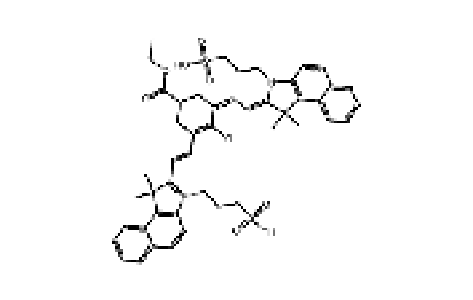 CCOC(=O)C1CC(=CC=C2N(CCCS(=O)(=O)O)c3ccc4ccccc4c3C2(C)C)C(Cl)=C(C=CC2=[N+](CCCS(=O)(=O)O)c3ccc4ccccc4c3C2(C)C)C1